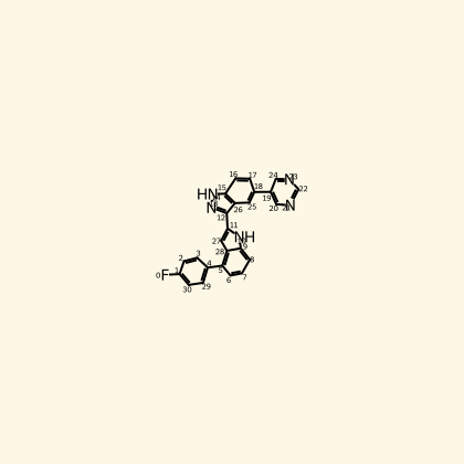 Fc1ccc(-c2cccc3[nH]c(-c4n[nH]c5ccc(-c6cncnc6)cc45)cc23)cc1